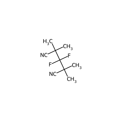 CC(C)(C#N)C(F)(F)C(C)(C)C#N